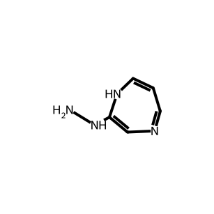 NNC1=CN=CC=CN1